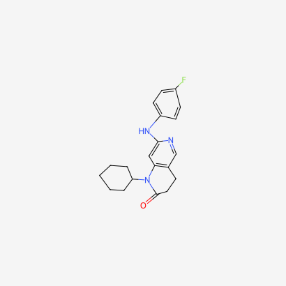 O=C1CCc2cnc(Nc3ccc(F)cc3)cc2N1C1CCCCC1